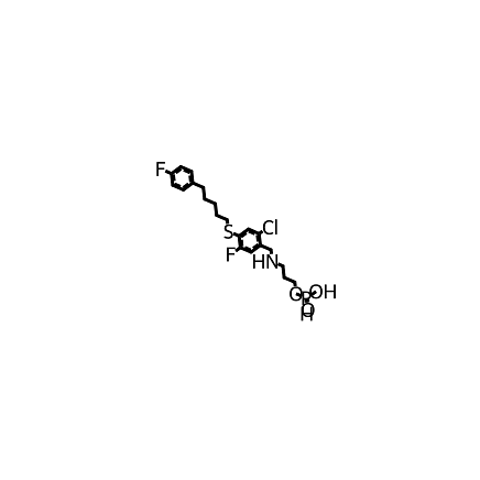 O=[PH](O)OCCCNCc1cc(F)c(SCCCCCc2ccc(F)cc2)cc1Cl